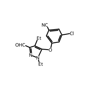 CCc1c(C=O)nn(CC)c1Oc1cc(Cl)cc(C#N)c1